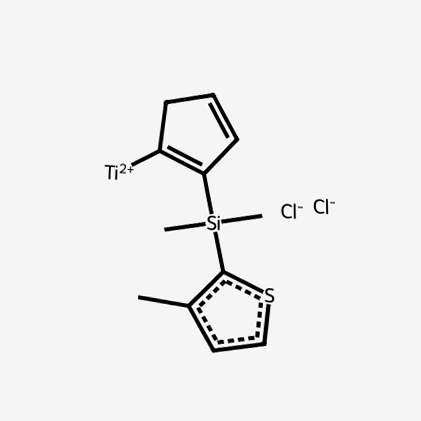 Cc1ccsc1[Si](C)(C)C1=[C]([Ti+2])CC=C1.[Cl-].[Cl-]